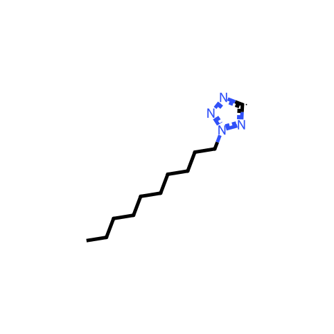 CCCCCCCCCCn1n[c]nn1